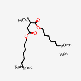 CCCCCCCCCCCCCCCCOC(=O)CC(C(=O)OCCCCCCCCCCCCCCCC)S(=O)(=O)O.[NaH].[NaH]